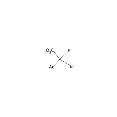 CCC(Br)(C(C)=O)C(=O)O